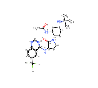 CC(=O)N[C@@H]1C[C@H](NC(C)(C)C)CC[C@@H]1N1CCC(Nc2ncnc3ccc(C(F)(F)F)cc23)C1=O